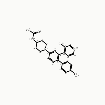 CCC(C)C(=O)NC1CCN(c2cnc(-c3ccc(C(F)(F)F)cc3)c(-c3ccncc3Cl)n2)CC1